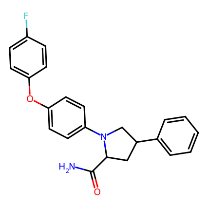 NC(=O)C1CC(c2ccccc2)CN1c1ccc(Oc2ccc(F)cc2)cc1